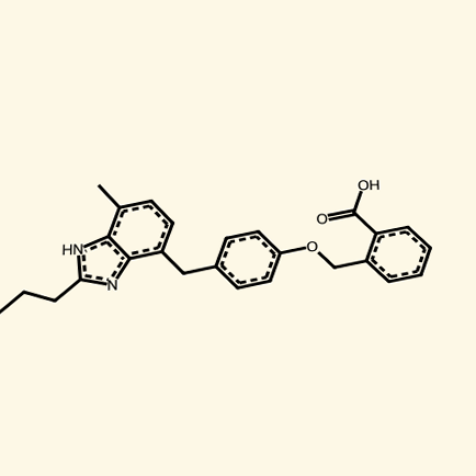 CCCc1nc2c(Cc3ccc(OCc4ccccc4C(=O)O)cc3)ccc(C)c2[nH]1